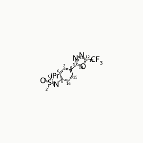 CC(C)S(C)(=O)=Nc1ccc(-c2nnc(C(F)(F)F)o2)cc1